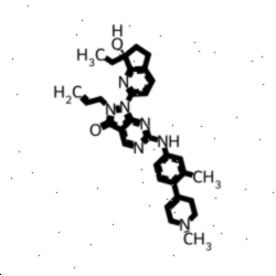 C=CCn1c(=O)c2cnc(Nc3ccc(C4=CCN(C)CC4)c(C)c3)nc2n1-c1ccc2c(n1)[C@@](O)(CC)CC2